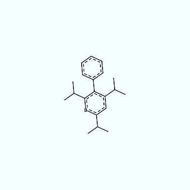 CC(C)c1bc(C(C)C)c(-c2ccccc2)c(C(C)C)c1